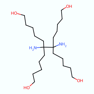 NC(CCCCCO)(CCCCCO)C(N)(CCCCCO)CCCCCO